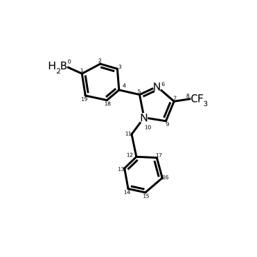 Bc1ccc(-c2nc(C(F)(F)F)cn2Cc2ccccc2)cc1